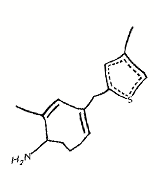 CC1=CC(c2cc(C)cs2)=CCC1N